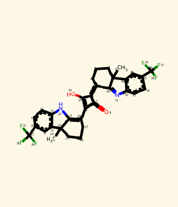 CC12CCC/C(=C3/C(=O)C(C4=C5Nc6ccc(C(F)(F)F)cc6C5(C)CCC4)=C3O)C1=Nc1ccc(C(F)(F)F)cc12